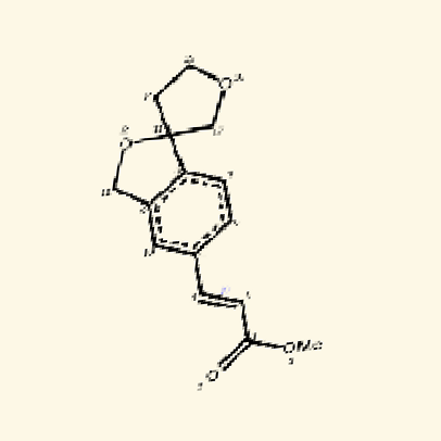 COC(=O)/C=C/c1ccc2c(c1)COC21CCOC1